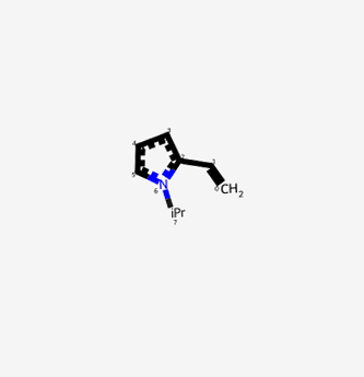 C=Cc1cccn1C(C)C